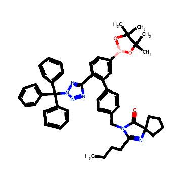 CCCCC1=NC2(CCCC2)C(=O)N1Cc1ccc(-c2cc(B3OC(C)(C)C(C)(C)O3)ccc2-c2nnn(C(c3ccccc3)(c3ccccc3)c3ccccc3)n2)cc1